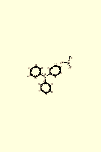 FB(F)F.c1ccc(N(c2ccccc2)c2ccccc2)cc1